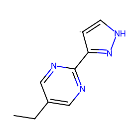 CCc1cnc(-c2[c]c[nH]n2)nc1